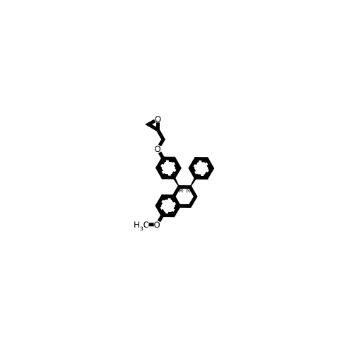 COc1ccc2c(c1)CC[C@H](c1ccccc1)[C@@H]2c1ccc(OCC2CO2)cc1